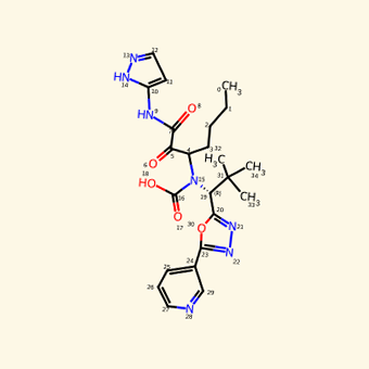 CCCCC(C(=O)C(=O)Nc1ccn[nH]1)N(C(=O)O)[C@@H](c1nnc(-c2cccnc2)o1)C(C)(C)C